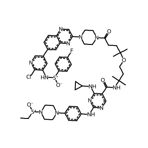 CC[S+]([O-])N1CCN(c2ccc(Nc3ncc(C(=O)NC(C)(C)CCOC(C)(C)CCC(=O)N4CCN(c5cnc6ccc(-c7cnc(Cl)c(N[S+]([O-])c8ccc(F)cc8)c7)cc6n5)CC4)c(NC4CC4)n3)cc2)CC1